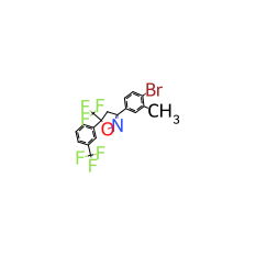 Cc1cc(C2=NOC(c3cccc(C(F)(F)F)c3)(C(F)(F)F)C2)ccc1Br